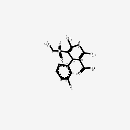 CCS(=O)(=O)C1=C(C)NC(C)=C(C(=O)O)C1c1cccc(Cl)c1